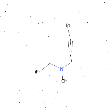 CCC#CCN(C)CC(C)C